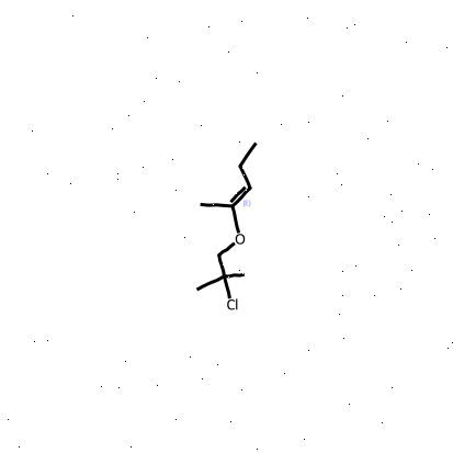 CC/C=C(\C)OCC(C)(C)Cl